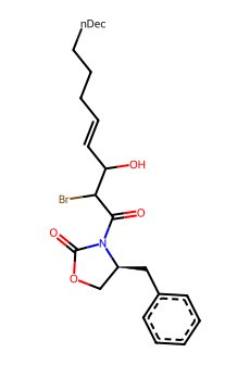 CCCCCCCCCCCCCC=CC(O)C(Br)C(=O)N1C(=O)OC[C@@H]1Cc1ccccc1